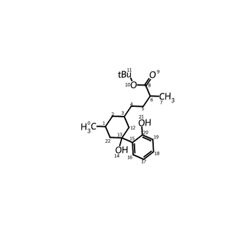 CC1CC(CCC(C)C(=O)OC(C)(C)C)CC(O)(c2ccccc2O)C1